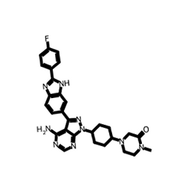 CN1CCN(C2CCC(n3nc(-c4ccc5nc(-c6ccc(F)cc6)[nH]c5c4)c4c(N)ncnc43)CC2)CC1=O